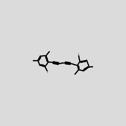 Cc1cc(C)c(C#CC#Cc2c(C)cc(C)cc2I)c(I)c1